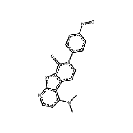 CN(C)c1ccnc2sc3c(=O)n(-c4ccc(N=O)cc4)ccc3c12